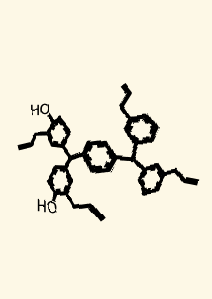 C=CCc1cccc(C(c2ccc(C(c3ccc(O)c(CC=C)c3)c3ccc(O)c(CC=C)c3)cc2)c2cccc(CC=C)c2)c1